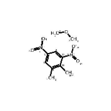 COC.Cc1cc([N+](=O)[O-])cc([N+](=O)[O-])c1C